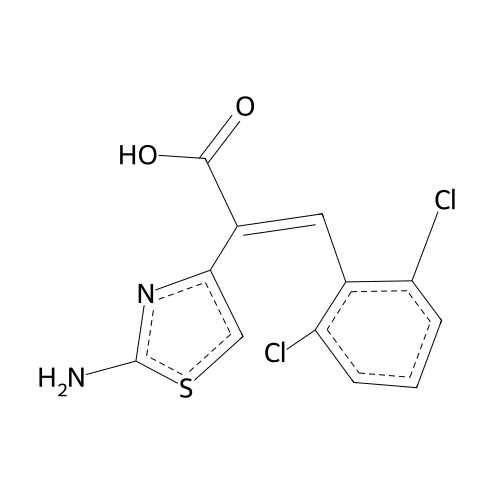 Nc1nc(C(=Cc2c(Cl)cccc2Cl)C(=O)O)cs1